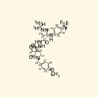 [2H]C([2H])([2H])n1cc(C(=O)NNC(=O)[C@]2(C=C)CCN(Cc3ccc(OC)cc3)C2=O)c(Nc2ccc(C(F)(F)F)cc2)n1